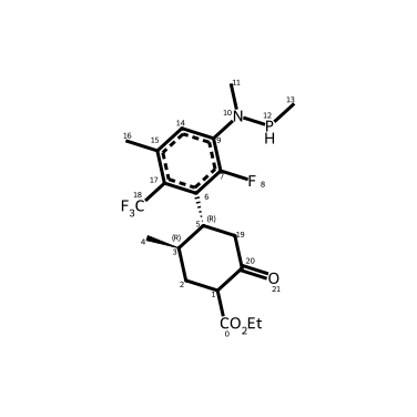 CCOC(=O)C1C[C@@H](C)[C@H](c2c(F)c(N(C)PC)cc(C)c2C(F)(F)F)CC1=O